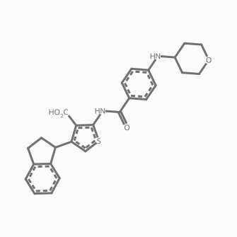 O=C(Nc1scc(C2CCc3ccccc32)c1C(=O)O)c1ccc(NC2CCOCC2)cc1